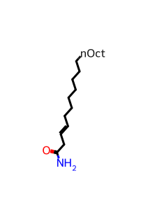 CCCCCCCCCCCCCCC/C=C/CC(N)=O